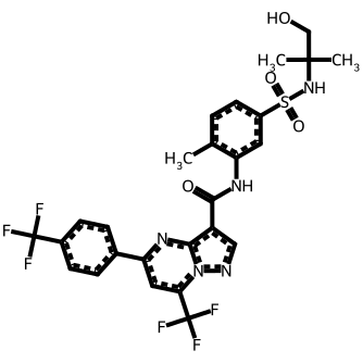 Cc1ccc(S(=O)(=O)NC(C)(C)CO)cc1NC(=O)c1cnn2c(C(F)(F)F)cc(-c3ccc(C(F)(F)F)cc3)nc12